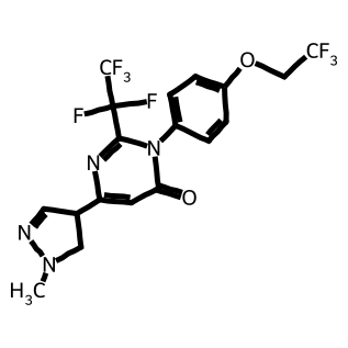 CN1CC(c2cc(=O)n(-c3ccc(OCC(F)(F)F)cc3)c(C(F)(F)C(F)(F)F)n2)C=N1